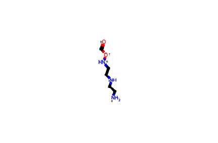 NCCNCCNOC=O